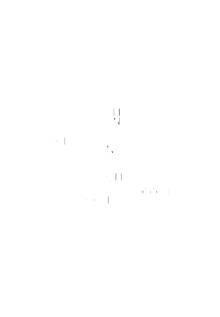 O=C(O)CCc1c[nH]cn1.O=CCCC(O)C(=O)O